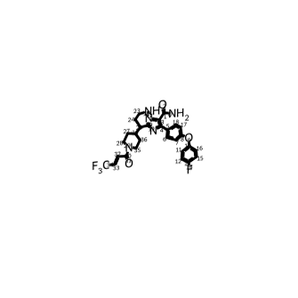 NC(=O)c1c(-c2ccc(Oc3ccc(F)cc3)cc2)nc2n1NCCC2C1CCN(C(=O)C=CC(F)(F)F)CC1